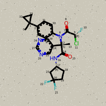 CC1(c2ccc(N(C(=O)[C@H](F)Cl)[C@](C)(C(=O)N[C@@H]3CCC(F)(F)C3)c3cncnc3)cc2)CC1